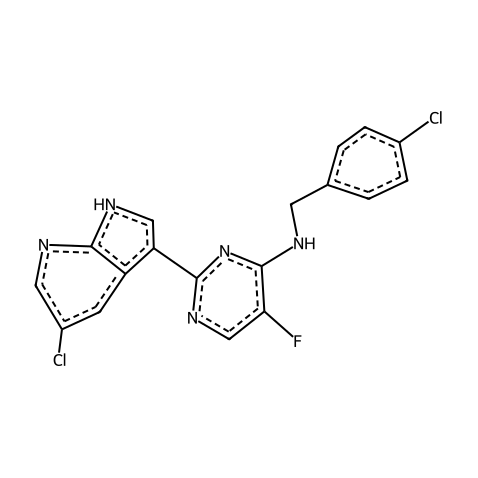 Fc1cnc(-c2c[nH]c3ncc(Cl)cc23)nc1NCc1ccc(Cl)cc1